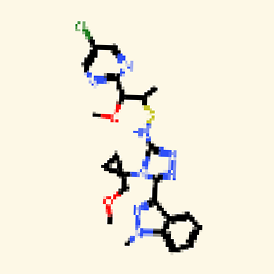 COCC1(n2c(NSC(C)C(OC)c3ncc(Cl)cn3)nnc2-c2nn(C)c3ccccc23)CC1